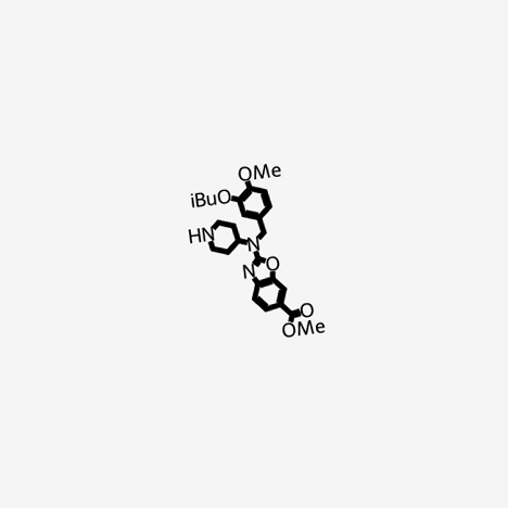 COC(=O)c1ccc2nc(N(Cc3ccc(OC)c(OCC(C)C)c3)C3CCNCC3)oc2c1